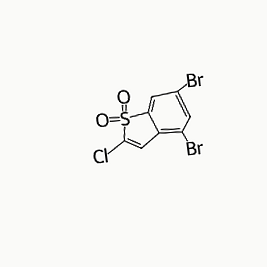 O=S1(=O)C(Cl)=Cc2c(Br)cc(Br)cc21